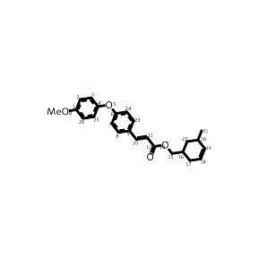 COc1ccc(Oc2ccc(/C=C/C(=O)OCC3CC=CC(C)C3)cc2)cc1